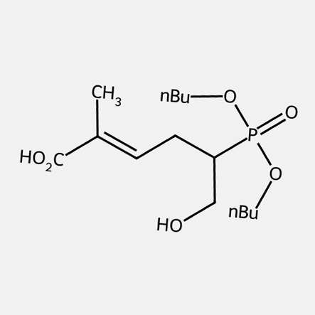 CCCCOP(=O)(OCCCC)C(CO)CC=C(C)C(=O)O